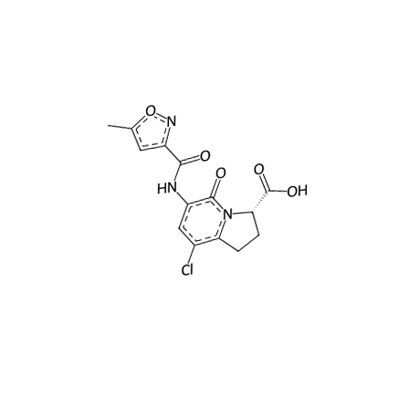 Cc1cc(C(=O)Nc2cc(Cl)c3n(c2=O)[C@H](C(=O)O)CC3)no1